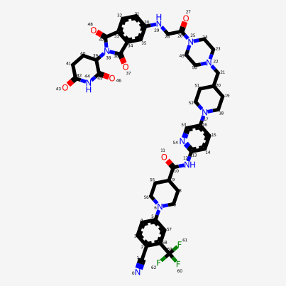 N#Cc1ccc(N2CCC(C(=O)Nc3ccc(N4CCC(CN5CCN(C(=O)CNc6ccc7c(c6)C(=O)N(C6CCC(=O)NC6=O)C7=O)CC5)CC4)cn3)CC2)cc1C(F)(F)F